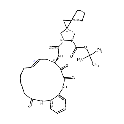 CC(C)(C)OC(=O)N1C[C@]2(C[C@H]1C(=O)N[C@@H]1C/C=C/CCCCC(=O)Nc3ccccc3NC(=O)C1=O)CC21CCC1